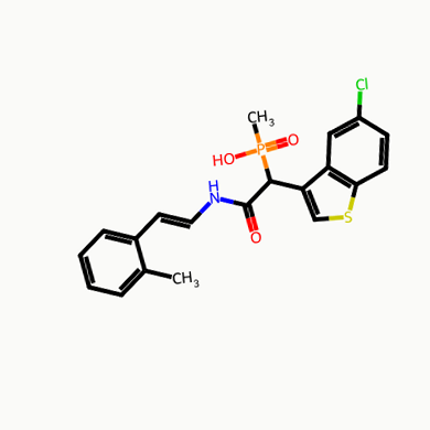 Cc1ccccc1C=CNC(=O)C(c1csc2ccc(Cl)cc12)P(C)(=O)O